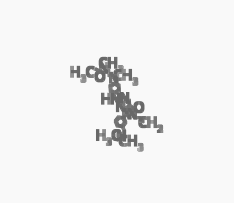 C=CCn1c(=O)c2cnc(Nc3ccc(N(C)CCN(C)C(=O)CC)cc3)nc2n1-c1cccc(CN(C)C)c1